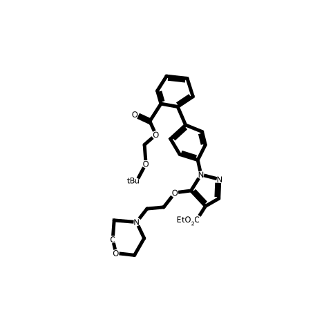 CCOC(=O)c1cnn(-c2ccc(-c3ccccc3C(=O)OCOC(C)(C)C)cc2)c1OCCN1CCOCC1